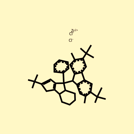 Cc1cc2c(cc1C(C)(C)C)-c1cc(C(C)(C)C)c(C)cc1C2C1(c2ccccc2)C2=C(CC(C(C)(C)C)=C2)C2CCCCC21.[Cl-].[Cl-].[Zr+2]